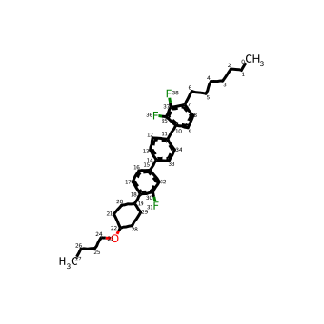 CCCCCCCc1ccc(-c2ccc(-c3ccc(C4CCC(OCCCC)CC4)c(F)c3)cc2)c(F)c1F